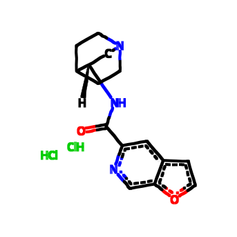 Cl.Cl.O=C(N[C@H]1CN2CCC1CC2)c1cc2ccoc2cn1